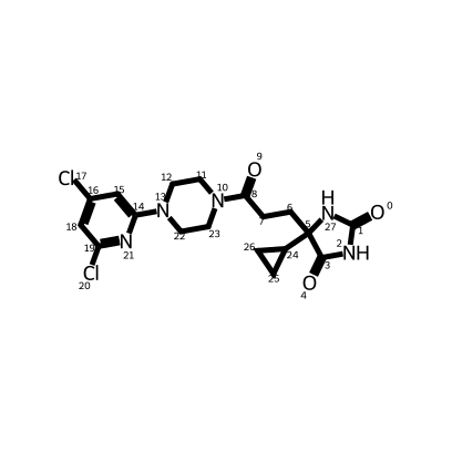 O=C1NC(=O)C(CCC(=O)N2CCN(c3cc(Cl)cc(Cl)n3)CC2)(C2CC2)N1